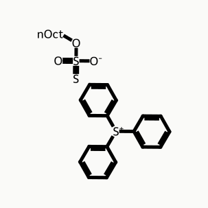 CCCCCCCCOS(=O)([O-])=S.c1ccc([S+](c2ccccc2)c2ccccc2)cc1